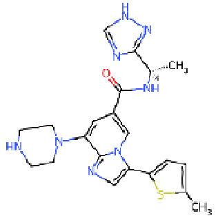 Cc1ccc(-c2cnc3c(N4CCNCC4)cc(C(=O)N[C@@H](C)c4nc[nH]n4)cn23)s1